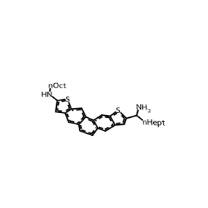 CCCCCCCCNc1cc2cc3ccc4cc5cc(C(N)CCCCCCC)sc5cc4c3cc2s1